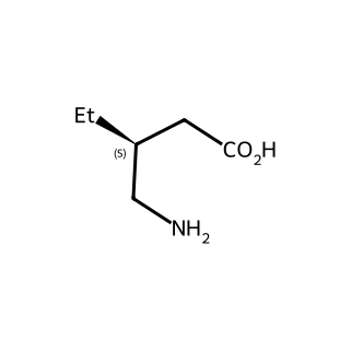 CC[C@H](CN)CC(=O)O